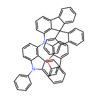 c1ccc(-n2c3ccccc3c3c(N(c4cccc5c4C4(c6ccccc6-c6ccccc64)c4ccccc4-5)c4cccc5c4oc4ccccc45)cccc32)cc1